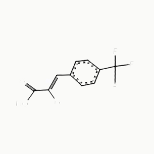 O=C(O)/C(O)=C/c1ccc(C(F)(F)F)cc1